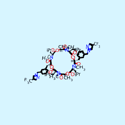 CC(C)C[C@H]1C(=O)O[C@H](Cc2cccc(Cn3cc(C(F)(F)F)cn3)c2)C(=O)N(C)[C@@H](CC(C)C)C(=O)O[C@H](C)C(=O)N(C)[C@@H](CC(C)C)C(=O)O[C@H](Cc2cccc(Cn3cc(C(F)(F)F)cn3)c2)C(=O)N(C)[C@@H](CC(C)C)C(=O)O[C@H](C)C(=O)N1C